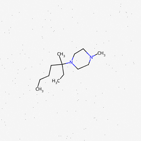 CCCCC(C)(CC)N1CCN(C)CC1